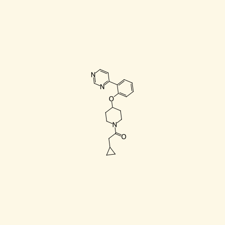 O=C(CC1CC1)N1CCC(Oc2ccccc2-c2ccncn2)CC1